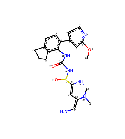 COc1cc(-c2ccc3c(c2NC(=O)N[S+]([O-])/C(N)=C/C(=C\N)N(C)C)CCC3)ccn1